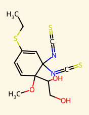 CCSC1=CC(N=C=S)(N=C=S)C(OC)(C(O)CO)C=C1